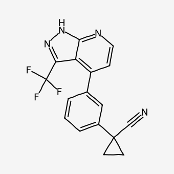 N#CC1(c2cccc(-c3ccnc4[nH]nc(C(F)(F)F)c34)c2)CC1